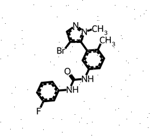 Cc1ccc(NC(=O)Nc2cccc(F)c2)cc1-c1c(Br)cnn1C